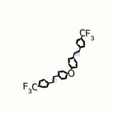 FC(F)(F)c1ccc(/C=C/c2ccc(Oc3ccc(/C=C/c4ccc(C(F)(F)F)cc4)cc3)cc2)cc1